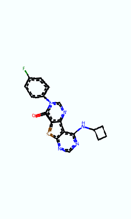 O=c1c2sc3ncnc(NC4CCC4)c3c2ncn1-c1ccc(F)cc1